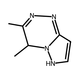 CC1=NN=C2C=CNN2C1C